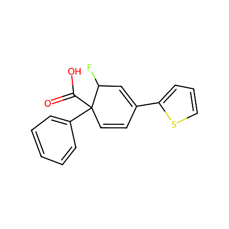 O=C(O)C1(c2ccccc2)C=CC(c2cccs2)=CC1F